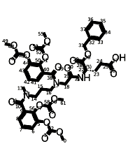 COC(=O)Oc1cccc(C(=O)N(C)CCCN(CC(=O)N[C@@H](CCC(=O)O)C(=O)OCc2ccccc2)C(=O)c2cccc(OC(=O)OC)c2OC(=O)OC)c1OC(=O)OC